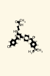 CC(=O)NCCNc1cc(N2CCN(C(=O)c3ccc(N(C)C)cc3)CC2)nc(-c2ccc(Cl)cc2)n1